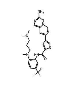 CN(C)CCCN(C)c1ccc(C(F)(F)F)cc1NC(=O)c1cc(-c2ccc3nc(N)ncc3c2)cs1